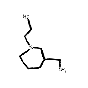 CCC1CCCN(CCS)C1